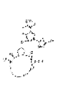 COc1ccc2c(OC3CC4C(=O)NC5(C(=O)O)CC5C=CCCCCN(C)C(=O)C4C3)cc(-c3nc(C(C)C)cs3)nc2c1F